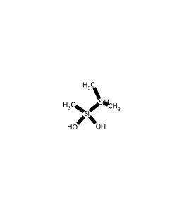 C[SiH](C)[Si](C)(O)O